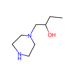 CCC(O)CN1CCNCC1